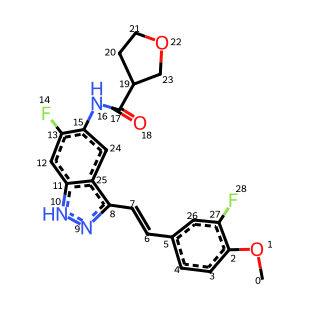 COc1ccc(/C=C/c2n[nH]c3cc(F)c(NC(=O)C4CCOC4)cc23)cc1F